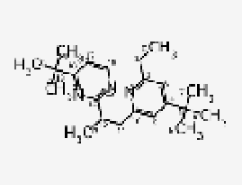 CCc1cc(C(C)(C)C)cc(CC(C)c2nccc(C(C)(C)C)n2)n1